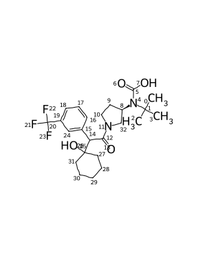 CC(C)(C)N(C(=O)O)[C@@H]1CCN(C(=O)C(c2cccc(C(F)(F)F)c2)C2(O)CCCCC2)C1